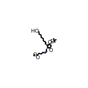 COC(=O)CCC/C=C\C[C@H]1C(=O)C[C@@H](O[Si](C)(C)C(C)(C)C)[C@@H]1C=CCCCCCCO